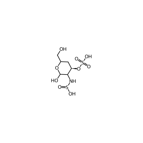 O=S(O)NC1C(O)OC(CO)C[C@H]1OS(=O)(=O)O